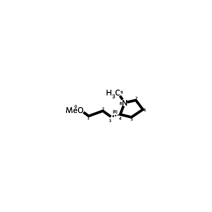 COCCC[C@H]1CCCN1C